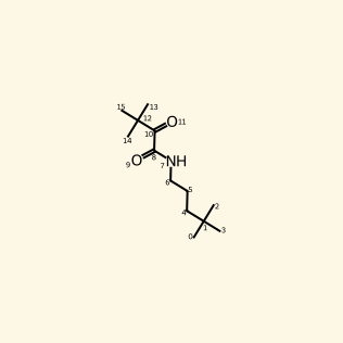 CC(C)(C)CCCNC(=O)C(=O)C(C)(C)C